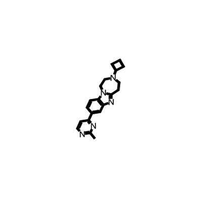 Cc1nccc(-c2ccc3c(c2)nc2n3CCN(C3CCC3)CC2)n1